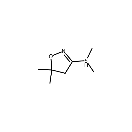 C[SH](C)C1=NOC(C)(C)C1